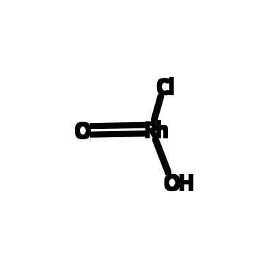 [O]=[Rh]([OH])[Cl]